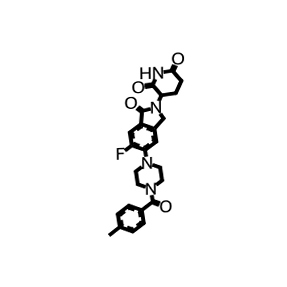 Cc1ccc(C(=O)N2CCN(c3cc4c(cc3F)C(=O)N(C3CCC(=O)NC3=O)C4)CC2)cc1